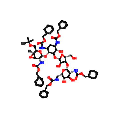 CC(C)(C)[Si](C)(C)OC[C@H]1O[C@H](O[C@H]2[C@H](O[C@@H]3O[C@H](CO)[C@@H](O[C@H]4O[C@@H](CNC(=O)OCc5ccccc5)[C@@H](O)[C@H](O)[C@H]4NC(=O)OCc4ccccc4)[C@H]3O)[C@@H](O)[C@H](NC(=O)OCc3ccccc3)C[C@@H]2NC(=O)OCc2ccccc2)[C@H](NC(=O)OCc2ccccc2)C2O[C@H]21